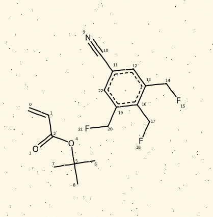 C=CC(=O)OC(C)(C)C.N#Cc1cc(CF)c(CF)c(CF)c1